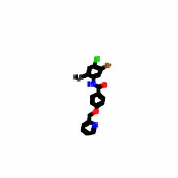 Cc1cc(Cl)c(Br)cc1NC(=O)c1ccc(OCc2ccccn2)cc1